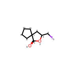 O=C1OC(CI)CC12CCCC2